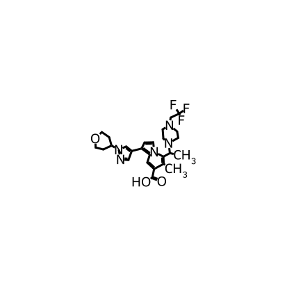 Cc1c(C(=O)O)cc2c(-c3cnn(C4CCOCC4)c3)ccn2c1C(C)N1CCN(CC(F)(F)F)CC1